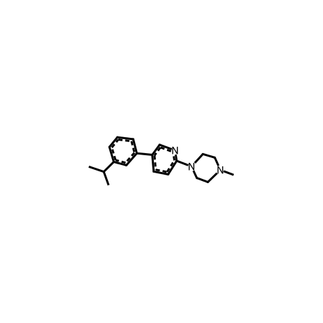 CC(C)c1cccc(-c2ccc(N3CCN(C)CC3)nc2)c1